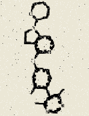 Cc1cc(Oc2nccc3c2CCN3C2CCCCO2)ccc1-c1c(C)ncnc1C